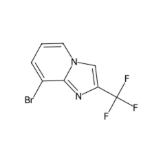 FC(F)(F)c1cn2cccc(Br)c2n1